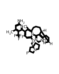 Cc1cc(N)nc(C2=C(F)C=C(OC[C@@]34CCCN3C[C@H](F)C4)N3C4=NCN5N[C@H]6CCC5=C4[C@H]6CCCC3=C2Cl)c1C(F)(F)F